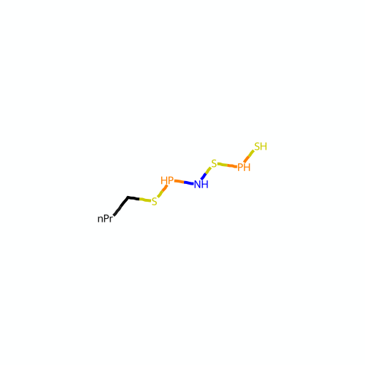 CCCCSPNSPS